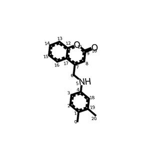 Cc1ccc(NCc2cc(=O)oc3ccccc23)cc1C